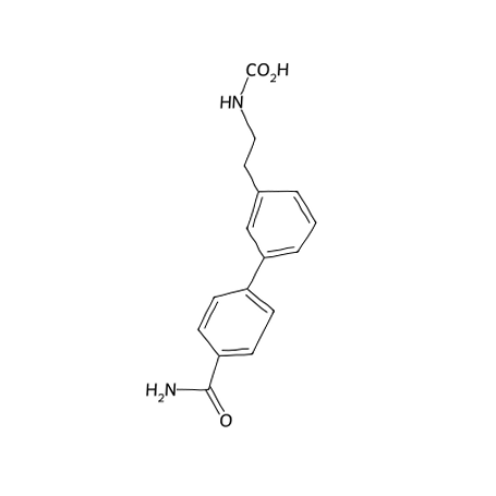 NC(=O)c1ccc(-c2cccc(CCNC(=O)O)c2)cc1